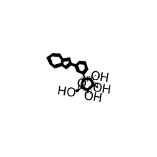 OC[C@H]1O[C@@H](c2cccc(-c3cc4cccccc-4c3)c2)[C@H](O)[C@@H](O)[C@@H]1O